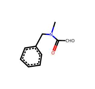 CN(Cc1ccccc1)C(=O)C=O